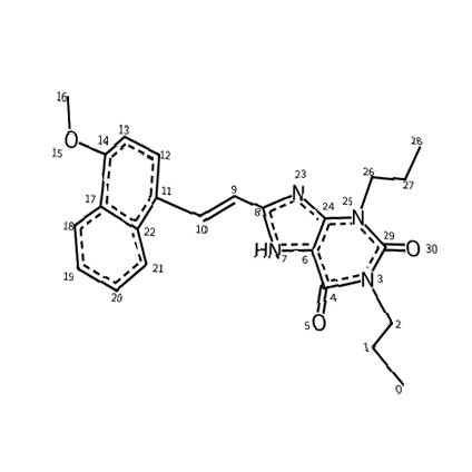 CCCn1c(=O)c2[nH]c(/C=C/c3ccc(OC)c4ccccc34)nc2n(CCC)c1=O